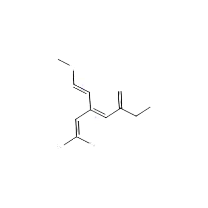 C=C(/C=C(C=C(Br)Br)\C=C\OC)CC